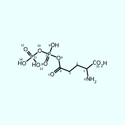 NC(CCC(=O)OP(=O)(O)OP(=O)(O)O)C(=O)O